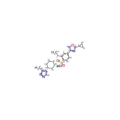 CCc1cc(-c2noc(C3CC3)n2)ccc1S(=O)(=O)N[C@H]1CCC[C@@H](n2cnnc2C)C1